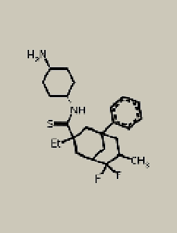 CCC1(C(=S)N[C@H]2CC[C@H](N)CC2)CC2CC(c3ccccc3)(CC(C)C2(F)F)C1